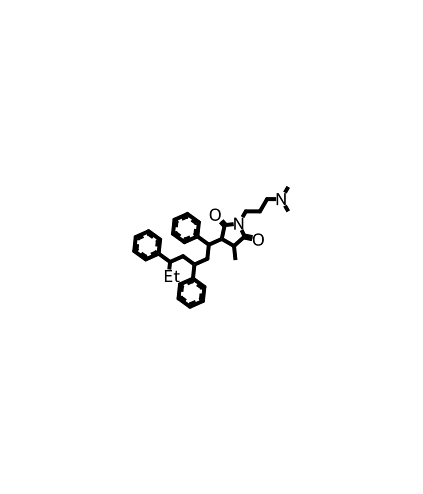 CCC(CC(CC(c1ccccc1)C1C(=O)N(CCCN(C)C)C(=O)C1C)c1ccccc1)c1ccccc1